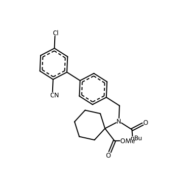 CCCCC(=O)N(Cc1ccc(-c2cc(Cl)ccc2C#N)cc1)C1(C(=O)OC)CCCCC1